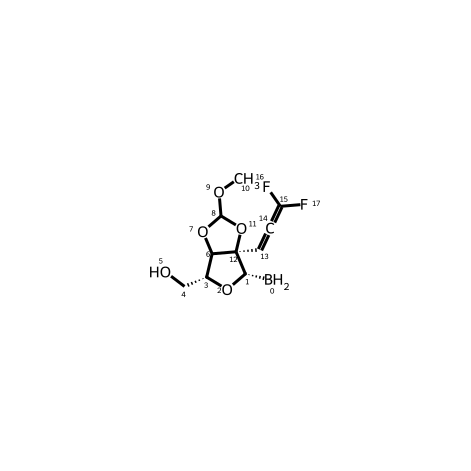 B[C@@H]1O[C@H](CO)C2OC(OC)O[C@]21C=C=C(F)F